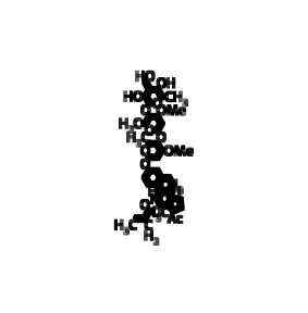 C/C=C(\C)C(=O)O[C@@H]1C[C@H]2[C@@H](CC=C3C[C@H](OC4CC(OC)C(OC5CC(OC)C(OC6OC(C)C(O)C(CO)C6O)C(C)O5)C(C)O4)CC[C@@]32C)[C@@]2(O)CC[C@H](C(C)=O)[C@@]12C